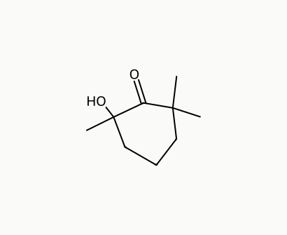 CC1(C)CCCC(C)(O)C1=O